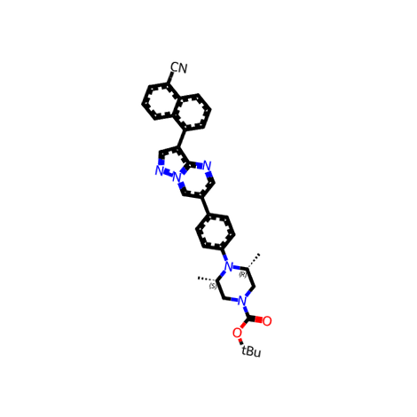 C[C@@H]1CN(C(=O)OC(C)(C)C)C[C@H](C)N1c1ccc(-c2cnc3c(-c4cccc5c(C#N)cccc45)cnn3c2)cc1